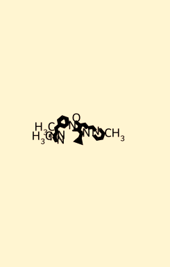 C[C@H]1CCCN(Cc2cc3c(c(C4CC4)n2)CN(c2cccc([C@H](C)c4nncn4C)c2)C3=O)C1